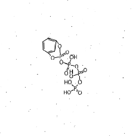 O=P(O)(O)OP(=O)(O)OP(=O)(O)OP1(=O)Oc2cccc(c2)O1